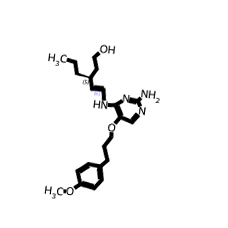 CCC[C@H](/C=C/Nc1nc(N)ncc1OCCCc1ccc(OC)cc1)CCO